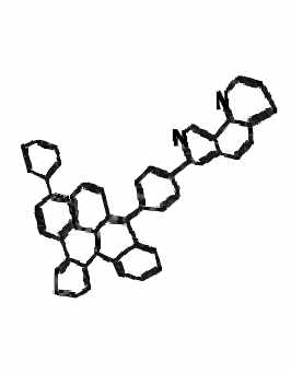 c1ccc(-c2ccc(-c3ccccc3-c3c4ccccc4c(-c4ccc(-c5cc6ccc7cccnc7c6cn5)cc4)c4ccccc34)cc2)cc1